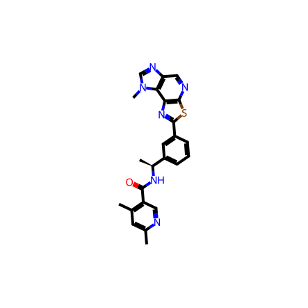 Cc1cc(C)c(C(=O)N[C@@H](C)c2cccc(-c3nc4c(ncc5ncn(C)c54)s3)c2)cn1